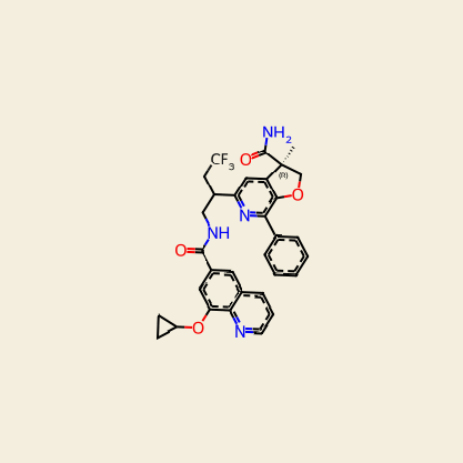 C[C@]1(C(N)=O)COc2c1cc(C(CNC(=O)c1cc(OC3CC3)c3ncccc3c1)CC(F)(F)F)nc2-c1ccccc1